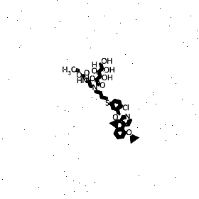 CCOC(=O)NCCN(CCCCSc1ccc(Cl)c(COC2(c3cnccc3-c3ccccc3OC3CC3)CC2)c1)C(=O)[C@@H](O)[C@@H](O)[C@H](O)[C@@H](O)CO